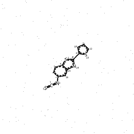 S=C=Nc1ccc2sc(-c3cccs3)nc2c1